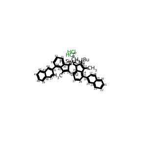 CC1=C(C(C)(C)C)[CH]([Zr]([CH3])([CH3])(=[SiH2])[CH]2C(C(C)(C)C)=C(C)c3c(-c4ccc5ccccc5c4)cccc32)c2cccc(-c3ccc4ccccc4c3)c21.Cl.Cl